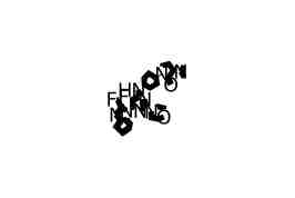 CN(C)C1CCN([C@H]2CC[C@H](Nc3cc(-n4c(C(F)F)nc5ccccc54)nc(N4CCOCC4)n3)CC2)C1=O